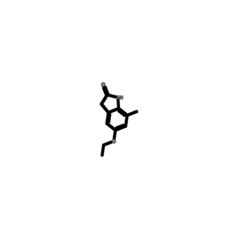 CCOc1cc(C)c2c(c1)CC(=O)N2